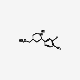 Cl.O=C(O)CC1CCNC(c2ccc(C(F)(F)F)c(F)c2)C1